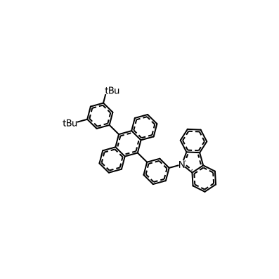 CC(C)(C)c1cc(-c2c3ccccc3c(-c3cccc(-n4c5ccccc5c5ccccc54)c3)c3ccccc23)cc(C(C)(C)C)c1